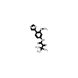 COc1cc(NC(=O)C(=O)C(C)(C)C)ccc1-c1cnco1